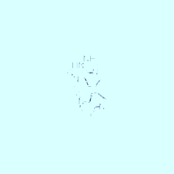 NNc1ncccc1[N+](=O)[O-].O=[N+]([O-])c1cccnc1Cl